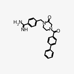 N=C(N)c1ccc(CN2CCN(C(=O)c3ccc(-c4ccccc4)cc3)CC2=O)cc1